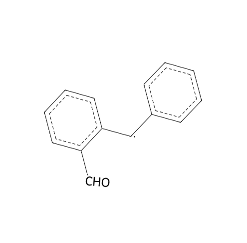 O=Cc1ccccc1[CH]c1ccccc1